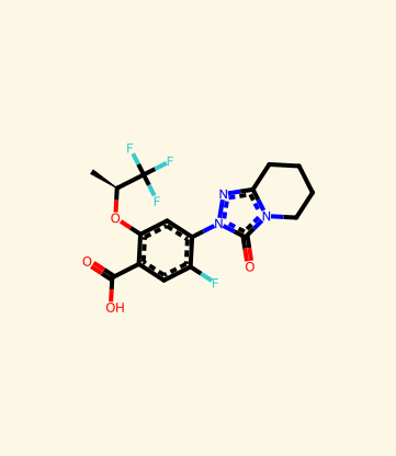 C[C@H](Oc1cc(-n2nc3n(c2=O)CCCC3)c(F)cc1C(=O)O)C(F)(F)F